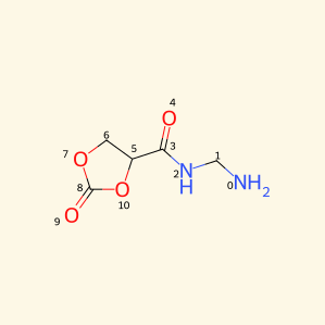 NCNC(=O)C1COC(=O)O1